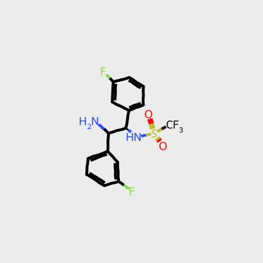 NC(c1cccc(F)c1)[C@H](NS(=O)(=O)C(F)(F)F)c1cccc(F)c1